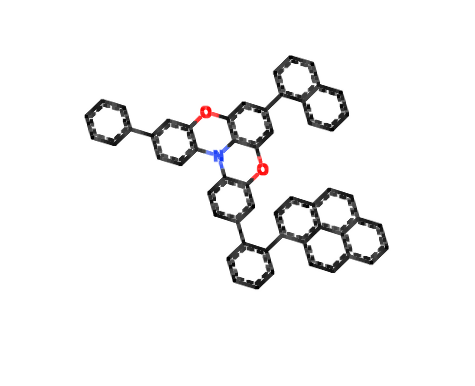 c1ccc(-c2ccc3c(c2)Oc2cc(-c4cccc5ccccc45)cc4c2N3c2ccc(-c3ccccc3-c3ccc5ccc6cccc7ccc3c5c67)cc2O4)cc1